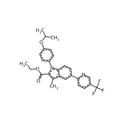 CCOC(=O)c1c(C)c2cc(-c3ccc(C(F)(F)F)cn3)ccc2n1-c1ccc(OC(C)C)cc1